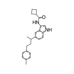 Cc1ccc(CCC(C)c2ccc3[nH]cc(NC(=O)C4CCC4)c3c2)cc1